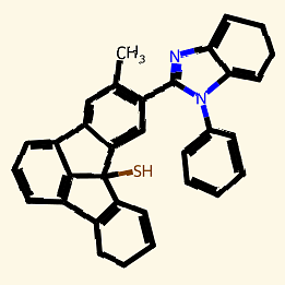 Cc1cc2c(cc1-c1nc3c(n1-c1ccccc1)=CCCC=3)C1(S)C3=C(CCC=C3)c3cccc-2c31